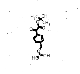 CC(C)(C)OC(=O)C(=O)c1ccc(CON(O)O)cc1